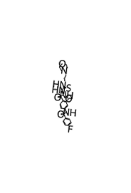 COc1cc(NC(=O)c2ccc(F)cc2)ccc1C(=O)NNC(=S)NCCCN1CCOCC1